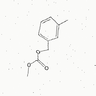 COC(=O)OCc1cccc(C)c1